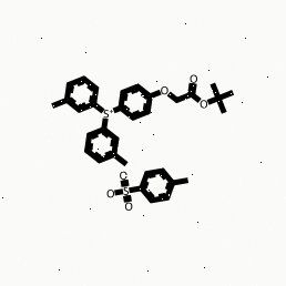 Cc1ccc(S(=O)(=O)[O-])cc1.Cc1cccc([S+](c2ccc(OCC(=O)OC(C)(C)C)cc2)c2cccc(C)c2)c1